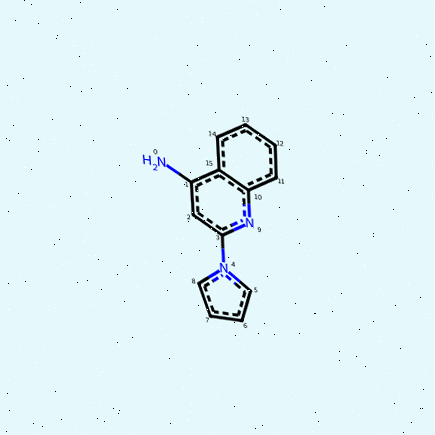 Nc1cc(-n2cccc2)nc2ccccc12